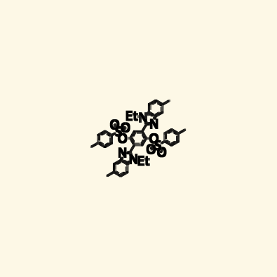 CCn1c(-c2cc(OS(=O)(=O)c3ccc(C)cc3)c(-c3nc4cc(C)ccc4n3CC)cc2OS(=O)(=O)c2ccc(C)cc2)nc2cc(C)ccc21